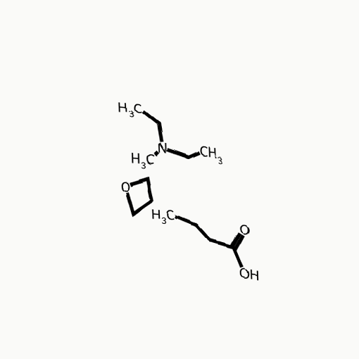 C1COC1.CCCC(=O)O.CCN(C)CC